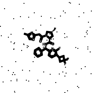 Cc1coc(CC(=O)N2C[C@H](F)C[C@H]2C(=O)N[C@@H](c2ccccc2)c2ccc(C3CC(F)(F)C3)c(F)n2)n1